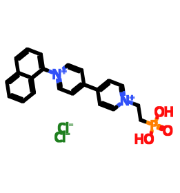 O=P(O)(O)CC[n+]1ccc(-c2cc[n+](-c3cccc4ccccc34)cc2)cc1.[Cl-].[Cl-]